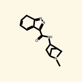 CN1CC2CC1CC2NC(=O)C1=NN=C2CC=CC=C21